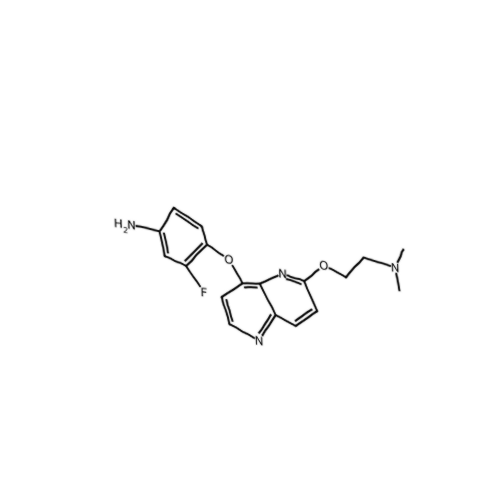 CN(C)CCOc1ccc2nccc(Oc3ccc(N)cc3F)c2n1